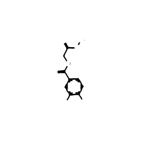 CC(C)(C)OC(=O)CNC(=O)c1ccc(O)c(O)c1